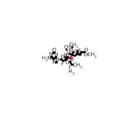 CCOC(=O)C(Cc1csc(C(=O)OC)c1)(OC1[C@H]2O[C@@H](n3cnc4c(N)nc(Cl)nc43)[C@@H](F)[C@@]12OC(=O)C(C)C)C(=O)OCC